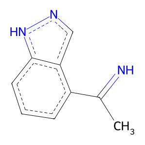 CC(=N)c1cccc2[nH]ncc12